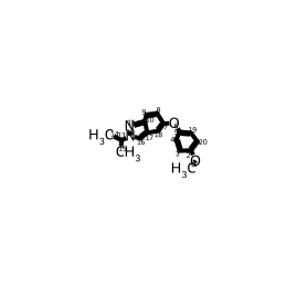 COc1ccc(Oc2ccc3nn(C(C)C)cc3c2)cc1